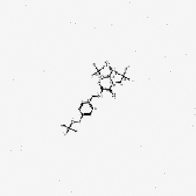 CC(C)(C)OCc1ccc(CNC(=O)C(=O)[C@H](CC(F)(F)F)N(C=O)OC(C)(C)C)cc1